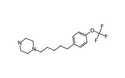 FC(F)(F)Oc1ccc(CCCCCN2CC[N]CC2)cc1